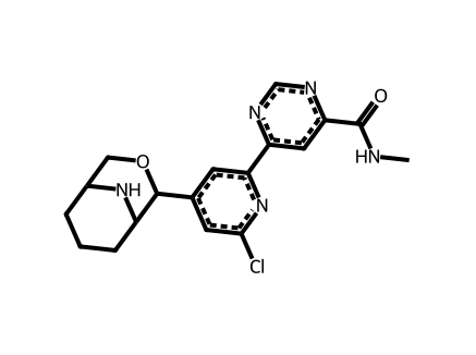 CNC(=O)c1cc(-c2cc(C3OCC4CCCC3N4)cc(Cl)n2)ncn1